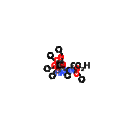 O=C(NC(Cc1c([C@H]2O[C@H](COCc3ccccc3)[C@@H](OCc3ccccc3)[C@H](OCc3ccccc3)[C@@H]2OCc2ccccc2)[nH]c2ccccc12)C(=O)O)OCc1ccccc1